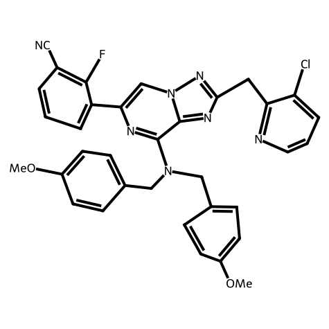 COc1ccc(CN(Cc2ccc(OC)cc2)c2nc(-c3cccc(C#N)c3F)cn3nc(Cc4ncccc4Cl)nc23)cc1